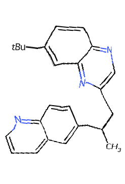 CC(Cc1cnc2ccc(C(C)(C)C)cc2n1)c1ccc2ncccc2c1